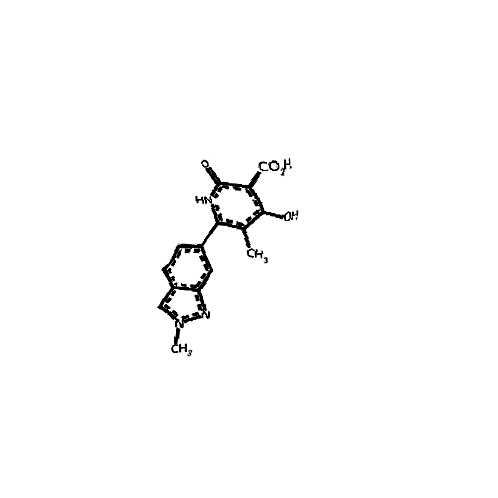 Cc1c(-c2ccc3cn(C)nc3c2)[nH]c(=O)c(C(=O)O)c1O